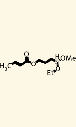 CC=CC(=O)OCCC[SiH](OC)OCC